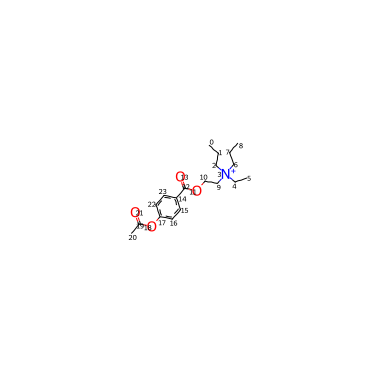 CCC[N+](CC)(CCC)CCOC(=O)c1ccc(OC(C)=O)cc1